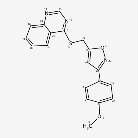 COc1ccc(-c2cc(CSc3ncnc4ccccc34)on2)cc1